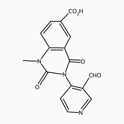 Cn1c(=O)n(-c2ccncc2C=O)c(=O)c2cc(C(=O)O)ccc21